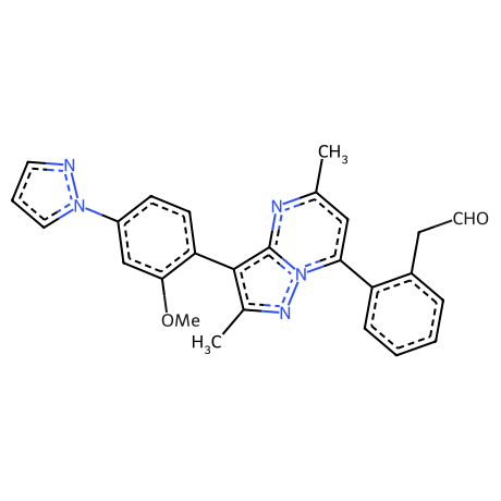 COc1cc(-n2cccn2)ccc1-c1c(C)nn2c(-c3ccccc3CC=O)cc(C)nc12